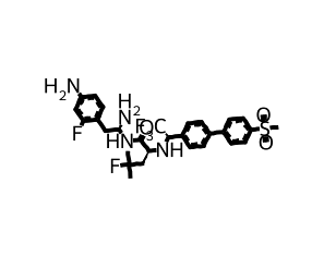 CC(C)(F)C[C@H](N[C@@H](c1ccc(-c2ccc(S(C)(=O)=O)cc2)cc1)C(F)(F)F)C(=O)N[C@H](N)Cc1ccc(N)cc1F